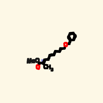 COC(=O)/C(C)=C/CCCCCCCOCc1ccccc1